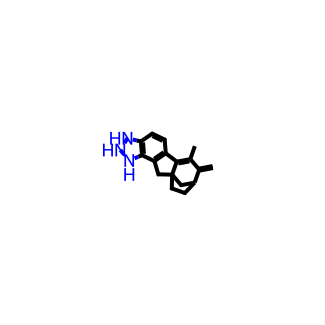 C=C1C(C)=C2c3ccc4c(c3CC23CCC1C3)NNN4